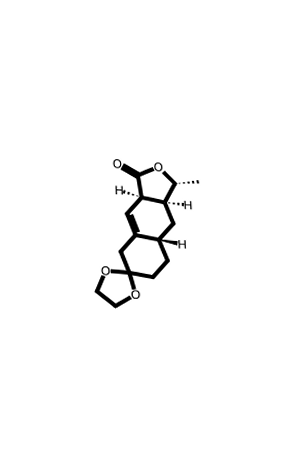 C[C@H]1OC(=O)[C@@H]2C=C3CC4(CC[C@H]3C[C@H]12)OCCO4